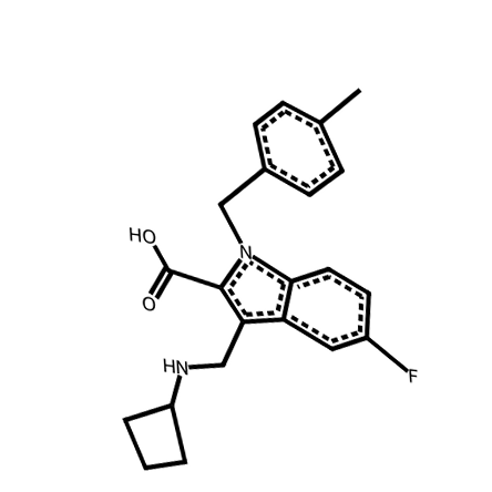 Cc1ccc(Cn2c(C(=O)O)c(CNC3CCC3)c3cc(F)ccc32)cc1